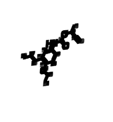 C#CC(C)OC(=O)Nc1ccc(OCC)c(CCC)c1